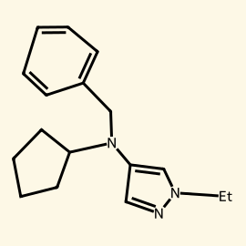 CCn1cc(N(Cc2ccccc2)C2CCCC2)cn1